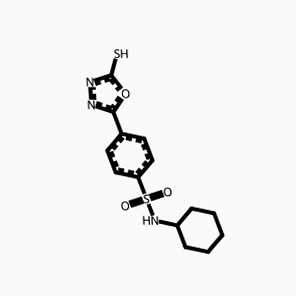 O=S(=O)(NC1CCCCC1)c1ccc(-c2nnc(S)o2)cc1